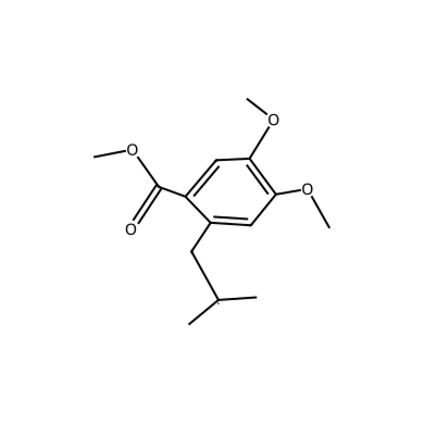 COC(=O)c1cc(OC)c(OC)cc1C[C](C)C